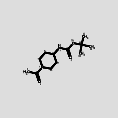 [CH2]C(=O)N1CCC(NC(=O)OC(C)(C)C)CC1